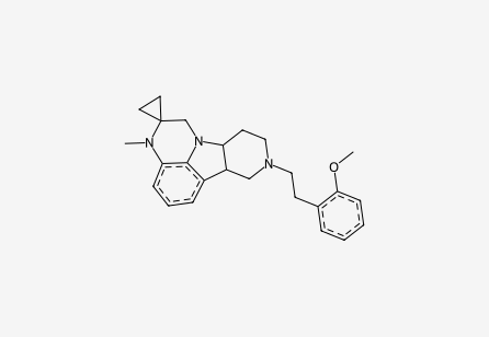 COc1ccccc1CCN1CCC2C(C1)c1cccc3c1N2CC1(CC1)N3C